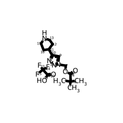 CC(C)(C)C(=O)OCn1cc(C2CCNCC2)nn1.O=C(O)C(F)(F)F